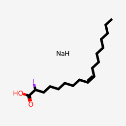 CCCCCCCC/C=C\CCCCCCC(I)C(=O)O.[NaH]